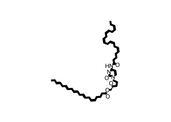 CCC=CCC=CCC=CCC=CC/C=C\CCCC(=O)OC[C@@H]1CC[C@@H](n2ccc(NC(=O)CCC/C=C\C/C=C\C/C=C\C/C=C\C/C=C\CC)nc2=O)O1